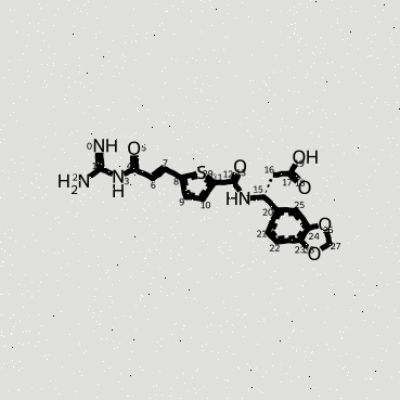 N=C(N)NC(=O)/C=C/c1ccc(C(=O)N[C@H](CC(=O)O)c2ccc3c(c2)OCO3)s1